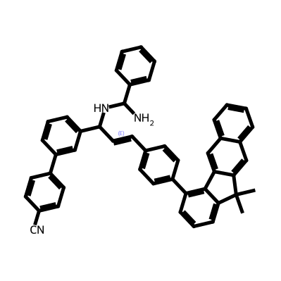 CC1(C)c2cc3ccccc3cc2-c2c(-c3ccc(/C=C/C(NC(N)c4ccccc4)c4cccc(-c5ccc(C#N)cc5)c4)cc3)cccc21